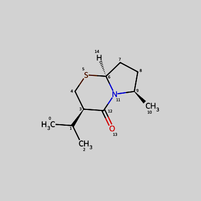 CC(C)[C@H]1CS[C@H]2CC[C@@H](C)N2C1=O